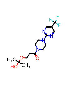 CC(C)(O)OCCC(=O)N1CCN(c2ncc(C(F)(F)F)cn2)CC1